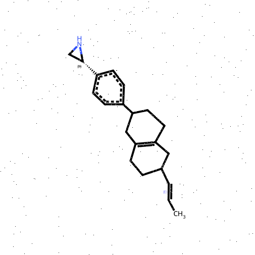 C/C=C/C1CCC2=C(CCC(c3ccc([C@@H]4CN4)cc3)C2)C1